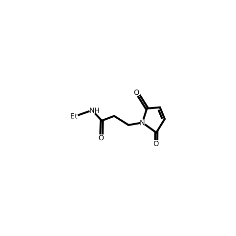 CCNC(=O)CCN1C(=O)C=CC1=O